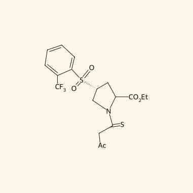 CCOC(=O)C1C[C@@H](S(=O)(=O)c2ccccc2C(F)(F)F)CN1C(=S)CC(C)=O